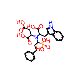 O=C(O)CC(C(=O)O)N(C(Cc1c[nH]c2ccccc12)C(=O)O)C(CCc1ccccc1)P(=O)(O)O